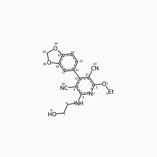 CCOc1nc(NCCO)c(C#N)c(-c2ccc3c(c2)OCO3)c1C#N